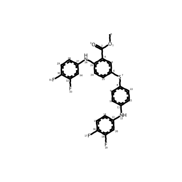 COC(=O)c1cc(Sc2ccc(Nc3ccc(F)c(F)c3)cc2)ccc1Nc1ccc(F)c(F)c1